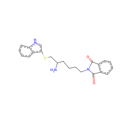 NC(CCCCN1C(=O)c2ccccc2C1=O)CSc1c[nH]c2ccccc12